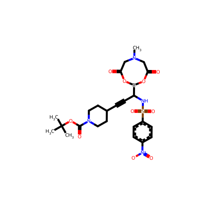 CN1CC(=O)OB(C(C#CC2CCN(C(=O)OC(C)(C)C)CC2)NS(=O)(=O)c2ccc([N+](=O)[O-])cc2)OC(=O)C1